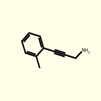 [CH2]c1ccccc1C#CCN